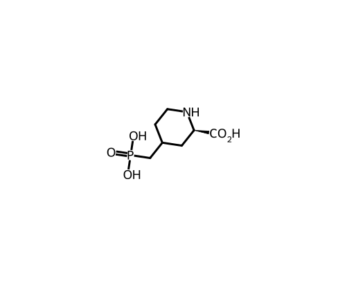 O=C(O)[C@H]1CC(CP(=O)(O)O)CCN1